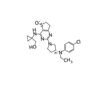 CCN(c1ccc(Cl)cc1)[C@@H]1CCN(c2nc3c(c(NC4(CO)CC4)n2)[S+]([O-])CC3)C1